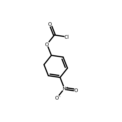 O=C(Cl)OC1C=CC([N+](=O)[O-])=CC1